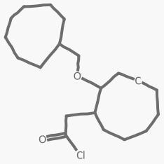 O=C(Cl)CC1CCCCCCCC1OCC1CCCCCCC1